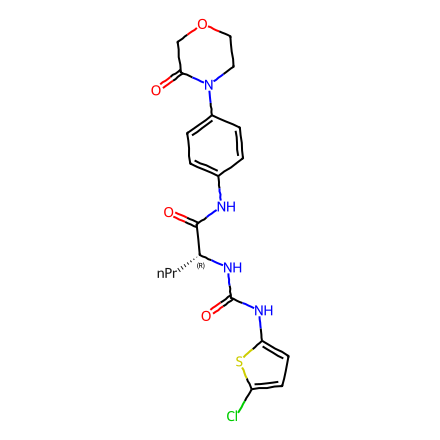 CCC[C@@H](NC(=O)Nc1ccc(Cl)s1)C(=O)Nc1ccc(N2CCOCC2=O)cc1